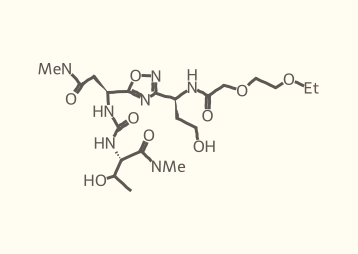 CCOCCOCC(=O)N[C@@H](CCO)c1noc([C@H](CC(=O)NC)NC(=O)N[C@H](C(=O)NC)C(C)O)n1